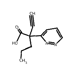 C#CC(CCC)(C(=O)O)c1cccnn1